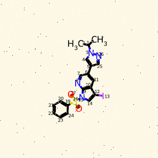 CC(C)n1cc(-c2cnc3c(c2)c(I)cn3S(=O)(=O)c2ccccc2)cn1